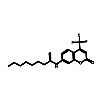 CCCCCCCC(=O)Nc1ccc2c(C(F)(F)F)cc(=O)oc2c1